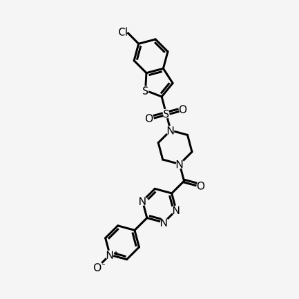 O=C(c1cnc(-c2cc[n+]([O-])cc2)nn1)N1CCN(S(=O)(=O)c2cc3ccc(Cl)cc3s2)CC1